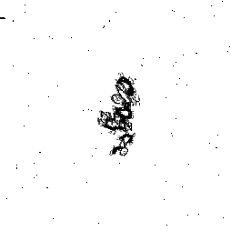 C=CC(=O)N1CC[C@@H](c2nc(-c3ccc(C(=O)Nc4ccccn4)cc3)n3c(N)nccc23)C1